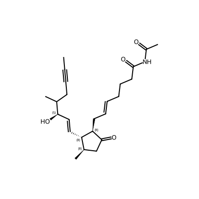 CC#CCC(C)[C@H](O)C=C[C@H]1[C@H](C)CC(=O)[C@@H]1CC=CCCCC(=O)NC(C)=O